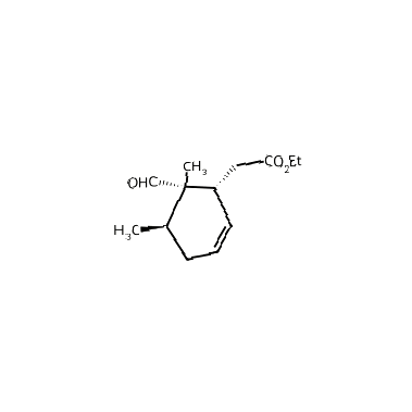 CCOC(=O)C[C@@H]1C=CC[C@@H](C)[C@]1(C)C=O